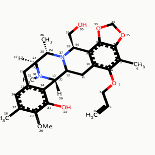 C=CCOc1c(C)c2c(c3c1CC1[C@@H]4c5c(cc(C)c(OC)c5O)C[C@@H]([C@H](C)N1[C@H]3CO)N4C)OCO2